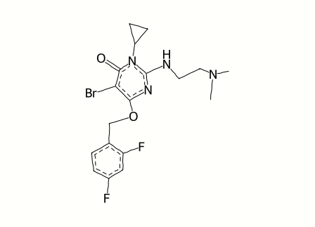 CN(C)CCNc1nc(OCc2ccc(F)cc2F)c(Br)c(=O)n1C1CC1